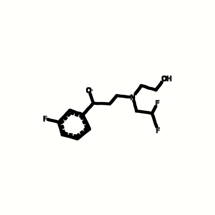 [O]C(CCN(CCO)CC(F)F)c1cccc(F)c1